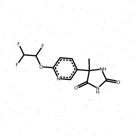 CC1(c2ccc(OC(F)C(F)F)nc2)NC(=O)NC1=O